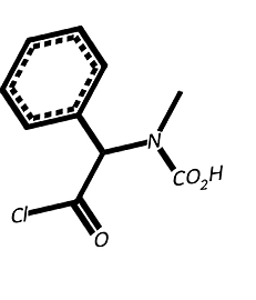 CN(C(=O)O)C(C(=O)Cl)c1ccccc1